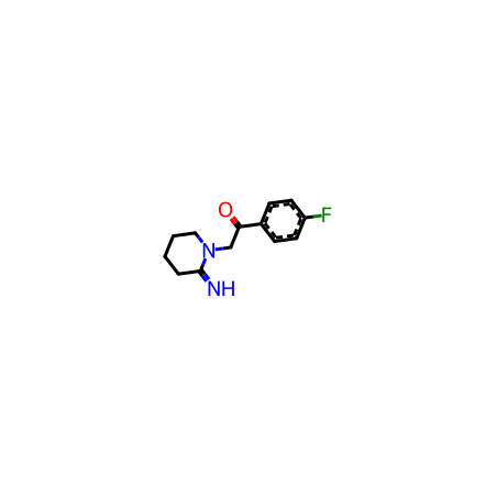 N=C1CCCCN1CC(=O)c1ccc(F)cc1